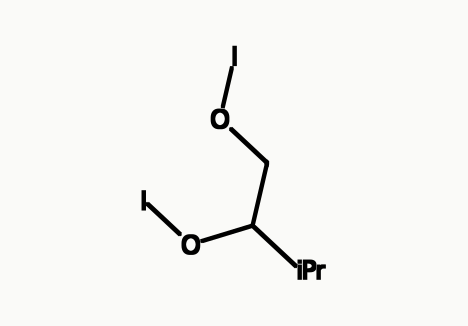 CC(C)C(COI)OI